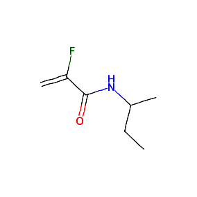 C=C(F)C(=O)NC(C)CC